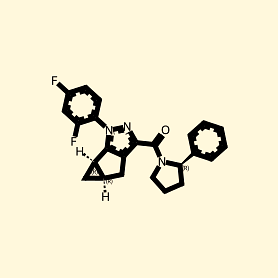 O=C(c1nn(-c2ccc(F)cc2F)c2c1C[C@H]1C[C@@H]21)N1CCC[C@@H]1c1ccccc1